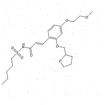 CCCCCS(=O)(=O)NC(=O)C=Cc1ccc(OCCOC)cc1OCC1CCCO1